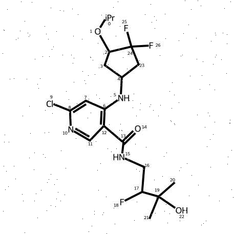 CC(C)OC1CC(Nc2cc(Cl)ncc2C(=O)NCC(F)C(C)(C)O)CC1(F)F